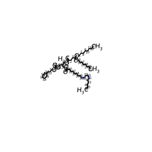 C=C(CCC(OCCCCCCCC)OCCCCCCCC)OCC(COC(=O)CCCCCCC/C=C\C/C=C\CCCCC)COC(=O)OCCCN1CCCC1